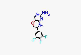 CN1c2nc(N)ncc2OCC1c1cc(F)c(F)c(F)c1